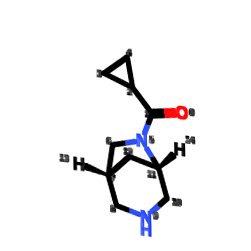 O=C(C1CC1)N1C[C@H]2CNC[C@@H]1C2